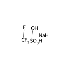 FC(F)(F)F.O=S(=O)(O)O.[NaH]